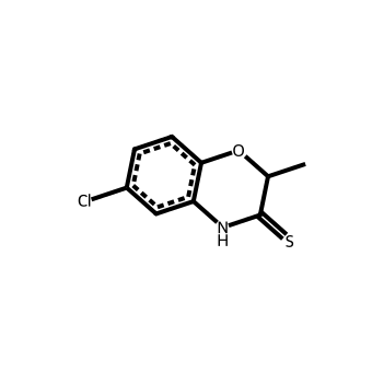 CC1Oc2ccc(Cl)cc2NC1=S